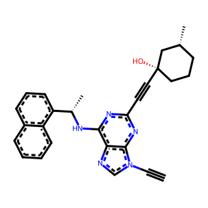 C#Cn1cnc2c(N[C@@H](C)c3cccc4ccccc34)nc(C#C[C@]3(O)CCC[C@@H](C)C3)nc21